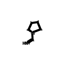 N=[C]N1CCCC1